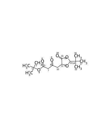 CC(C)(C)OC(=O)CC(=O)CC1OC(C(C)(C)C)OC1=O